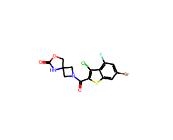 O=C1NC2(CO1)CN(C(=O)c1sc3cc(Br)cc(F)c3c1Cl)C2